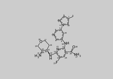 Cc1cnn(-c2cncc(Nc3nc(N[C@@H]4CCOC[C@@H]4N)c(F)cc3C(N)=O)c2)c1